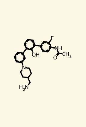 CC(=O)Nc1ccc(-c2cccc(-c3cccc(N4CCC(CN)CC4)c3)c2O)cc1F